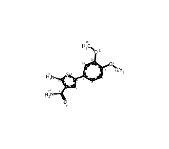 COc1ccc(-c2cc(C(N)=O)c(N)s2)cc1OC